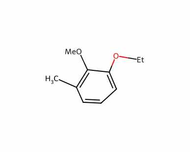 CCOc1cccc(C)c1OC